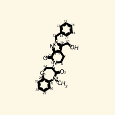 CN1C(=O)[C@@H](N2CCc3c(nn(Cc4ccccc4)c3CO)C2=O)COc2ccccc21